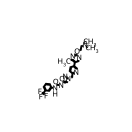 Cc1nc(OCCN(C)C)ncc1-c1ccc(C[n+]2cc([N-]C(=O)Nc3cccc(C(F)(F)F)c3)on2)nc1